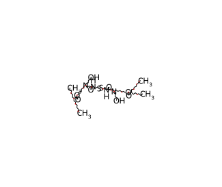 CCCCCCCCC(CCCCCC)C(=O)OCCCCCCN(CCCCO)CCC(=O)NCCSSCCNC(=O)CCN(CCCCO)CCCCCCOC(=O)C(CCCCCC)CCCCCCCC